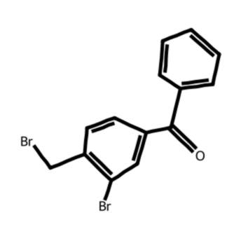 O=C(c1ccccc1)c1ccc(CBr)c(Br)c1